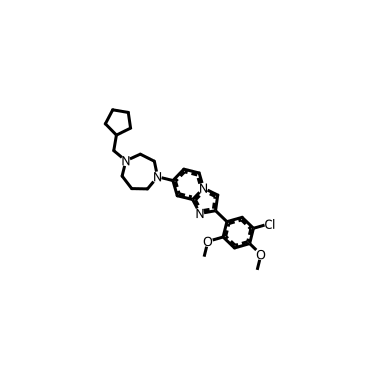 COc1cc(OC)c(-c2cn3ccc(N4CCCN(CC5CCCC5)CC4)cc3n2)cc1Cl